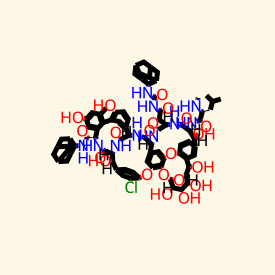 CN[C@H](CC(C)C)C(=O)N[C@H]1C(=O)N[C@@H](CC(=O)NC(=O)NC2C3CC4CC(C3)CC2C4)C(=O)N[C@H]2C(=O)N[C@@H]3C(=O)N[C@H](C(=O)N[C@H](C(=O)NC4C5CC6CC(C5)CC4C6)c4cc(O)cc(C)c4-c4cc3ccc4O)[C@H](O)c3ccc(c(Cl)c3)Oc3cc2cc2c3O[C@@H]3O[C@H](C(O)c4cc(ccc4O2)[C@H]1O)[C@@H](O)[C@H](O)[C@H]3O